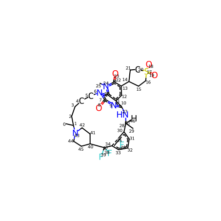 CC1CCCCn2c(=O)nc(c3cc(C4CCS(=O)(=O)CC4)c(=O)n(C)c32)N[C@H](C)c2cccc(c2F)C(F)(F)C2CCN1CC2